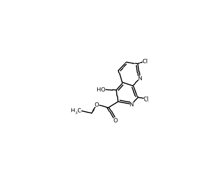 CCOC(=O)c1nc(Cl)c2nc(Cl)ccc2c1O